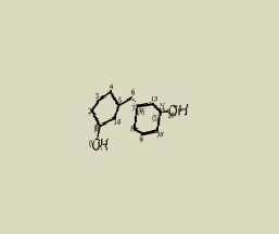 O[C@H]1CCCC(C[C@H]2CCC[C@H](O)C2)C1